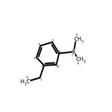 CCc1cccc(B(C)C)c1